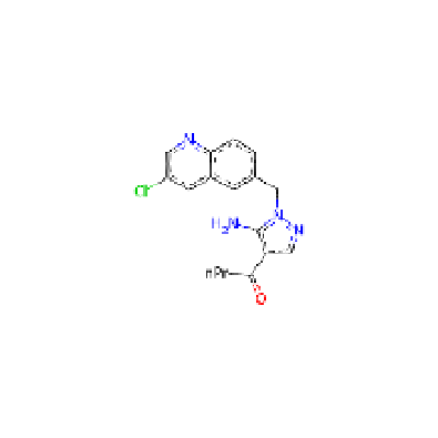 CCCC(=O)c1cnn(Cc2ccc3ncc(Cl)cc3c2)c1N